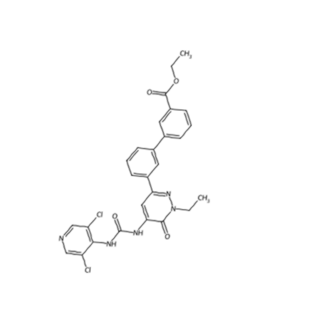 CCOC(=O)c1cccc(-c2cccc(-c3cc(NC(=O)Nc4c(Cl)cncc4Cl)c(=O)n(CC)n3)c2)c1